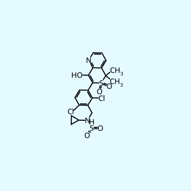 CC1(C)c2cccnc2C(O)=C(c2ccc(Cl)c(CN(C3CC3)[SH](=O)=O)c2Cl)S1(=O)=O